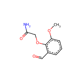 COc1cccc(C=O)c1OCC(N)=O